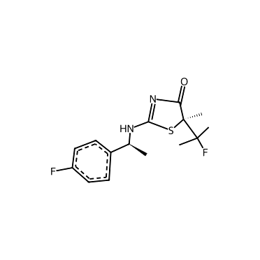 C[C@H](NC1=NC(=O)[C@@](C)(C(C)(C)F)S1)c1ccc(F)cc1